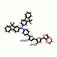 CCCCCCc1cc(-c2sc(-c3scc4c3OCCO4)cc2CCCCCC)sc1-c1ccc(N(c2ccc3c(c2)C(C)(C)c2ccccc2-3)c2ccc3c(c2)C(C)(C)c2ccccc2-3)cc1